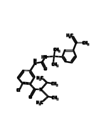 C=C(C)c1cccc(C(C)(C)NC(=O)Nc2ccc(Cl)c(C(=O)N(C(C)C)C(C)C)c2)c1